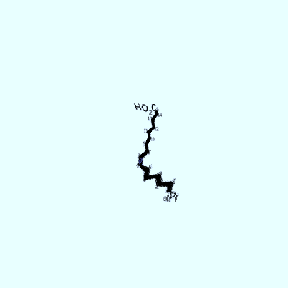 CC(C)CCCCC/C=C\CCCCCCCC(=O)O